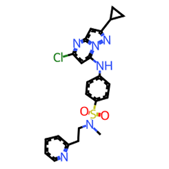 CN(CCc1ccccn1)S(=O)(=O)c1ccc(Nc2cc(Cl)nc3cc(C4CC4)nn23)cc1